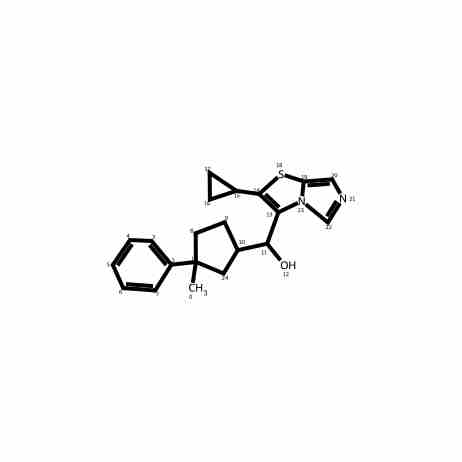 CC1(c2ccccc2)CCC(C(O)c2c(C3CC3)sc3cncn23)C1